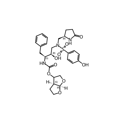 O=C1CC[C@H](CN(C[C@@H](O)[C@H](Cc2ccccc2)NC(=O)OC2CO[C@H]3OCC[C@@H]23)S(=O)(=O)c2ccc(O)cc2)N1